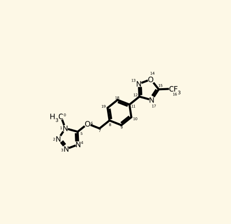 Cn1nnnc1OCc1ccc(-c2noc(C(F)(F)F)n2)cc1